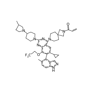 C=CC(=O)N1CC2(CCN(c3nc(N4CCC(N5CCC(C)C5)CC4)nc4c(OCC(F)(F)F)c(-c5c(C)ccc6[nH]ncc56)c(C5CC5)cc34)CC2)C1